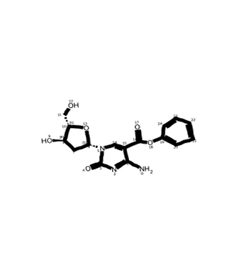 Nc1nc(=O)n([C@@H]2C[C@@H](O)[C@H](CO)O2)cc1C(=O)Oc1ccccc1